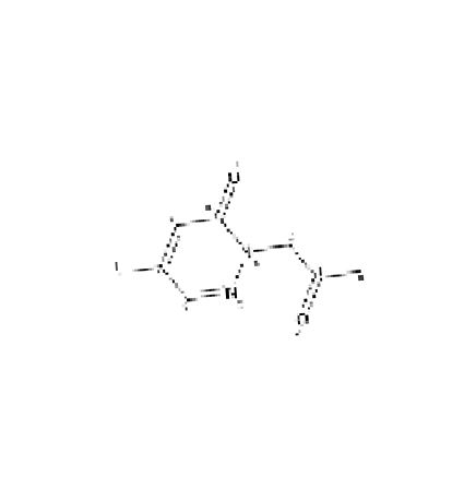 CC(=O)Cn1ncc(C)cc1=O